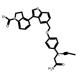 CC#C[C@@H](CC(N)=O)c1ccc(OCc2ccc3scc(-c4cccc5c4CCN5C(=O)CC)c3c2)cc1